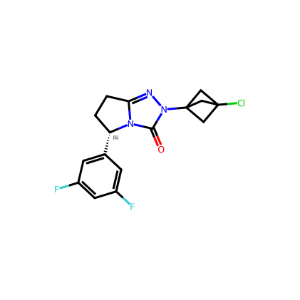 O=c1n(C23CC(Cl)(C2)C3)nc2n1[C@H](c1cc(F)cc(F)c1)CC2